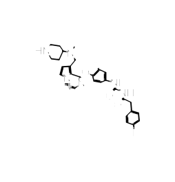 CN(Cc1ccn2ncnc(Oc3ccc(NC(=O)NC(=O)Cc4ccc(F)cc4)cc3F)c12)C1CCNCC1